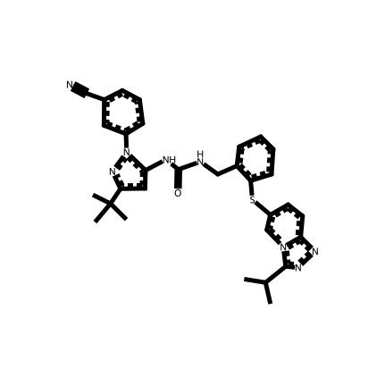 CC(C)c1nnc2ccc(Sc3ccccc3CNC(=O)Nc3cc(C(C)(C)C)nn3-c3cccc(C#N)c3)cn12